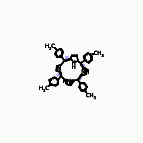 Cc1ccc(/C2=C3\C=CC(N3)/C(c3ccc(C)cc3)=c3/cc/c([nH]3)=C(\c3ccc(C)cc3)c3ccc([nH]3)/C(c3ccc(C)cc3)=C3/C=CC2=N3)cc1